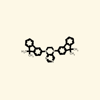 CC1(C)c2ccccc2-c2cc(N3CCN(c4ccc5c(c4)-c4ccccc4C5(C)C)c4ncncc43)ccc21